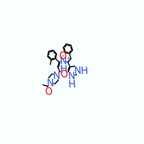 CC(=O)N1CCN(C2/C=C(/c3ccccc3C)[NH+]([O-])C(Cc3ccccc3)C3=C(NCNC3)O2)CC1